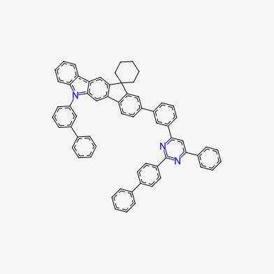 c1ccc(-c2ccc(-c3nc(-c4ccccc4)cc(-c4cccc(-c5ccc6c(c5)C5(CCCCC5)c5cc7c8ccccc8n(-c8cccc(-c9ccccc9)c8)c7cc5-6)c4)n3)cc2)cc1